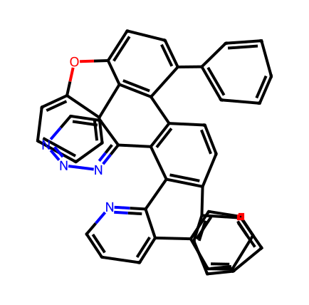 c1ccc(-c2cccnc2-c2c(-c3ccccc3)ccc(-c3c(-c4ccccc4)ccc4oc5ccccc5c34)c2-c2ccnnn2)cc1